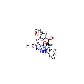 COc1ccc2c(c1Cc1c(C)n[nH]c1C)OC(=Cc1n[nH]c3ccccc13)C2=O